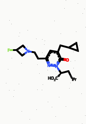 CC(C)C[C@@H](C(=O)O)n1nc(CCN2CC(F)C2)cc(CC2CC2)c1=O